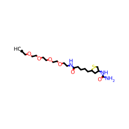 C#CCOCCOCCOCCOCCNC(=O)CCCCC1CC(NC(N)=O)CS1